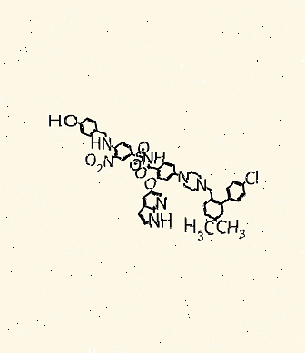 CC1(C)CCC(CN2CCN(c3ccc(C(=O)NS(=O)(=O)c4ccc(NCc5ccc(O)cc5)c([N+](=O)[O-])c4)c(Oc4cnc5[nH]ccc5c4)c3)CC2)=C(c2ccc(Cl)cc2)C1